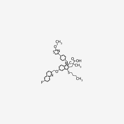 CCCCSc1c(CC(C)(C)C(=O)O)n(Cc2ccc(-c3csc(OCC)n3)cc2)c2ccc(OCc3ccc4cc(F)ccc4n3)cc12